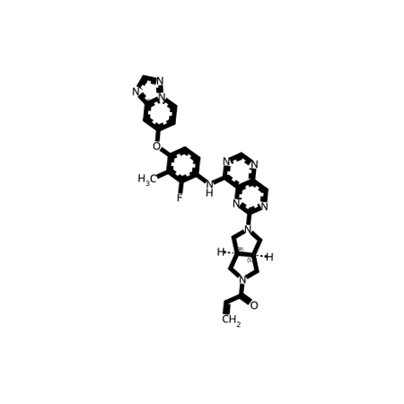 C=CC(=O)N1C[C@@H]2CN(c3ncc4ncnc(Nc5ccc(Oc6ccn7ncnc7c6)c(C)c5F)c4n3)C[C@@H]2C1